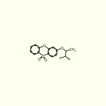 CC(Oc1ccc2c(c1)Oc1ccccc1S2(=O)=O)C(F)F